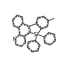 Cc1ccc2c(c1)[Si](c1ccccc1)(c1ccccc1)c1c-2c2ccccc2c2ncccc12